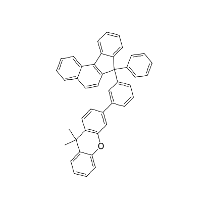 CC1(C)c2ccccc2Oc2cc(-c3cccc(C4(c5ccccc5)c5ccccc5-c5c4ccc4ccccc54)c3)ccc21